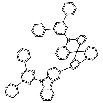 c1ccc(-c2cc(-c3ccccc3)cc(N3c4ccccc4C4(c5ccccc5-c5ccc(-c6ccc7c(c6)c6ccccc6n7-c6nc(-c7ccccc7)cc(-c7ccccc7)n6)cc54)c4ccccc43)c2)cc1